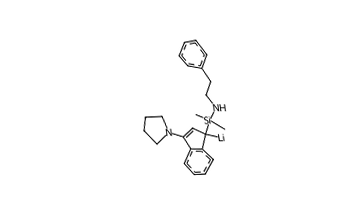 [Li][C]1([Si](C)(C)NCCc2ccccc2)C=C(N2CCCC2)c2ccccc21